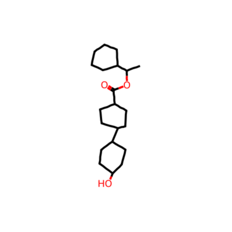 CC(OC(=O)C1CCC(C2CCC(O)CC2)CC1)C1CCCCC1